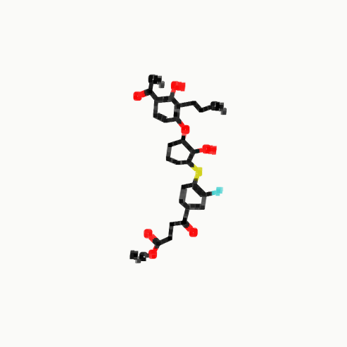 CCCc1c(OC2CCCC(Sc3ccc(C(=O)CCC(=O)OC)cc3F)C2O)ccc(C(C)=O)c1O